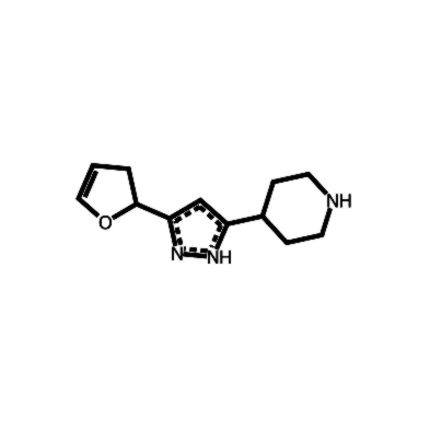 C1=COC(c2cc(C3CCNCC3)[nH]n2)C1